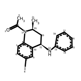 CC(=O)N1c2ccc(I)cc2[C@H](Nc2ccccc2)C[C@@H]1C